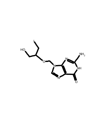 Nc1nc2c(ncn2COC(CO)CI)c(=O)[nH]1